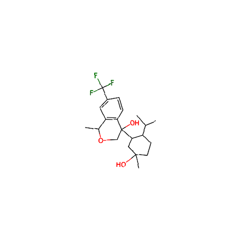 CC1OCC(O)(C2CC(C)(O)CCC2C(C)C)c2ccc(C(F)(F)F)cc21